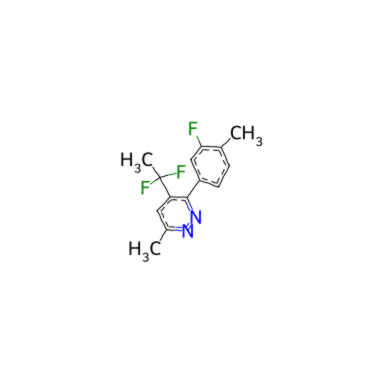 Cc1cc(C(C)(F)F)c(-c2ccc(C)c(F)c2)nn1